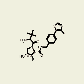 Cc1ncsc1-c1ccc(CNC(=O)[C@@H]2[C@@H](F)[C@@H](O)CN2C(=O)C(N)C(C)(C)C)cc1